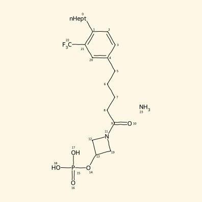 CCCCCCCc1ccc(CCCCC(=O)N2CC(OP(=O)(O)O)C2)cc1C(F)(F)F.N